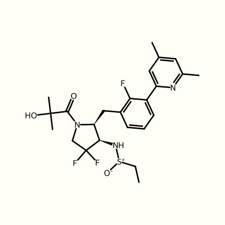 CC[S+]([O-])N[C@@H]1[C@H](Cc2cccc(-c3cc(C)cc(C)n3)c2F)N(C(=O)C(C)(C)O)CC1(F)F